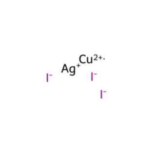 [Ag+].[Cu+2].[I-].[I-].[I-]